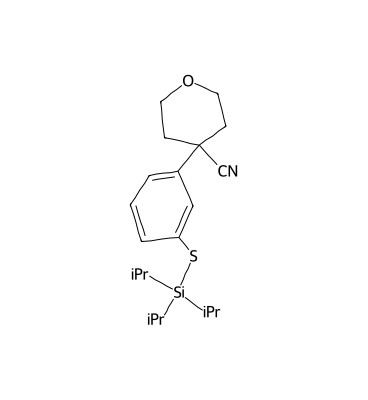 CC(C)[Si](Sc1cccc(C2(C#N)CCOCC2)c1)(C(C)C)C(C)C